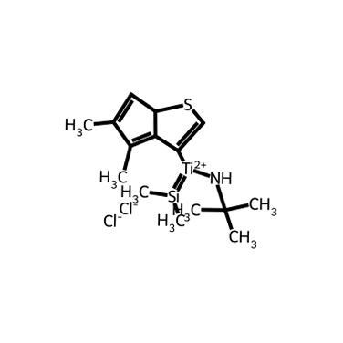 CC1=CC2SC=[C]([Ti+2]([NH]C(C)(C)C)=[Si](C)C)C2=C1C.[Cl-].[Cl-]